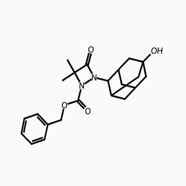 CC1(C)C(=O)N(C2C3CC4CC2CC(O)(C4)C3)N1C(=O)OCc1ccccc1